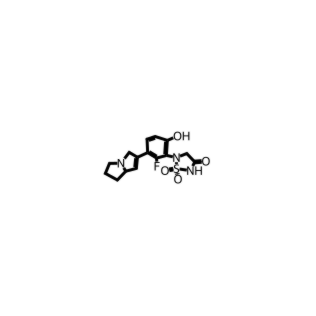 O=C1CN(c2c(O)ccc(C3=CC4CCCN4C3)c2F)S(=O)(=O)N1